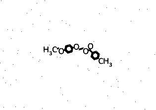 CCOc1ccc(OCCOC(=O)c2ccc(C)cc2)cc1